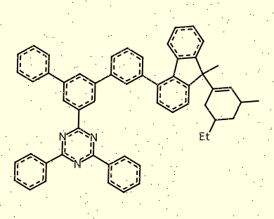 CCC1CC(C2(C)c3ccccc3-c3c(-c4cccc(-c5cc(-c6ccccc6)cc(-c6nc(-c7ccccc7)nc(-c7ccccc7)n6)c5)c4)cccc32)=CC(C)C1